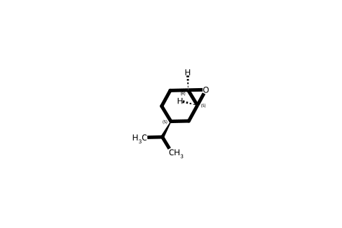 CC(C)[C@H]1CC[C@H]2O[C@H]2C1